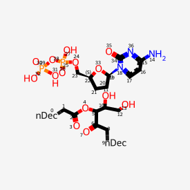 CCCCCCCCCCCC(=O)OC(C(=O)CCCCCCCCCCC)C(O)CO.Nc1ccn([C@H]2CC[C@@H](COP(=O)(O)OP(=O)(O)O)O2)c(=O)n1